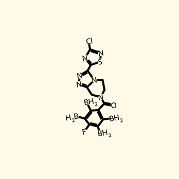 Bc1c(B)c(C(=O)N2CCn3c(nnc3-c3nc(Cl)ns3)C2)c(B)c(B)c1F